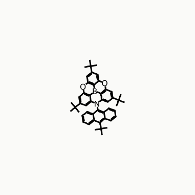 CC(C)(C)c1cc2c3c(c1)Oc1cc(C(C)(C)C)cc4c1B3c1c(cc(C(C)(C)C)cc1N4c1c3ccccc3c(C(C)(C)C)c3ccccc13)O2